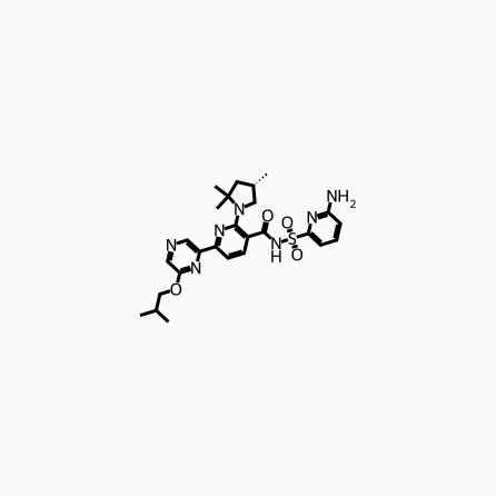 CC(C)COc1cncc(-c2ccc(C(=O)NS(=O)(=O)c3cccc(N)n3)c(N3C[C@@H](C)CC3(C)C)n2)n1